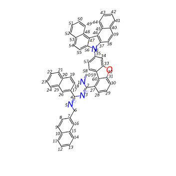 C=N/C(=N\C(=N/Cc1ccc2ccccc2c1)c1ccc2ccccc2c1)c1cccc2oc3cc(-n4c5ccc6ccccc6c5c5c6ccccc6ccc54)ccc3c12